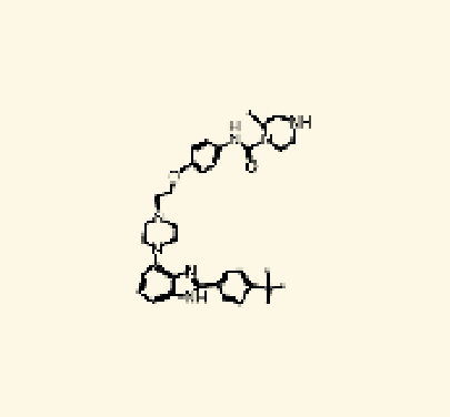 CC1CNCCN1C(=O)Nc1ccc(OCCN2CCN(c3cccc4[nH]c(-c5ccc(C(C)(C)C)cc5)nc34)CC2)cc1